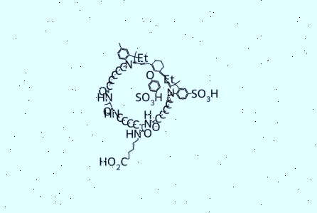 CCC1(C)C2=[N+](CCCCCC(=O)NC(C)C(=O)NCCCCC(C(=O)NCCCCCC(=O)O)NC(=O)CCCCCN3/C(=C/C=C4\CCCC(=C4Oc4ccc(S(=O)(=O)O)cc4)/C=C/2)C(C)(CC)c2cc(S(=O)(=O)O)ccc23)c2ccc(C)cc21